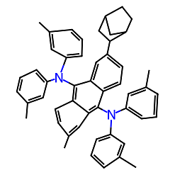 Cc1cccc(N(c2cccc(C)c2)c2c3ccc(C4CC5CCC4C5)cc3c(N(c3cccc(C)c3)c3cccc(C)c3)c3ccc(C)cc23)c1